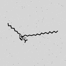 CCCCCCCCCCCCCCCCCc1n(CCCCCCCCC)cc[n+]1C(C)C